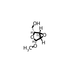 CO[C@@H]1O[C@H](CO)[C@@H]2O[C@H]12